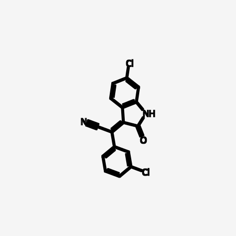 N#CC(=C1C(=O)Nc2cc(Cl)ccc21)c1cccc(Cl)c1